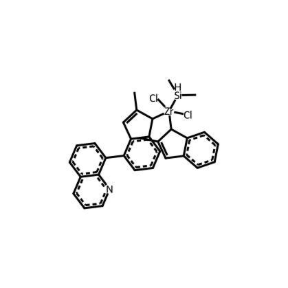 CC1=Cc2ccccc2[CH]1[Zr]([Cl])([Cl])([CH]1C(C)=Cc2c(-c3cccc4cccnc34)cccc21)[SiH](C)C